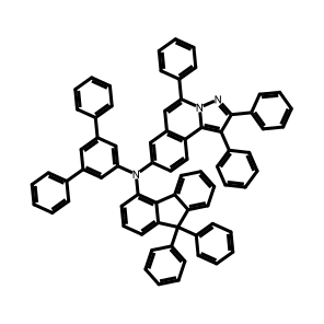 c1ccc(-c2cc(-c3ccccc3)cc(N(c3ccc4c(c3)cc(-c3ccccc3)n3nc(-c5ccccc5)c(-c5ccccc5)c43)c3cccc4c3-c3ccccc3C4(c3ccccc3)c3ccccc3)c2)cc1